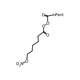 CCCCCC(=O)OOC(=O)CCCCCO[N+](=O)[O-]